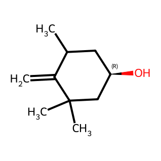 C=C1C(C)C[C@@H](O)CC1(C)C